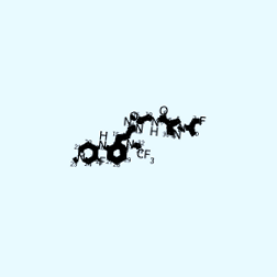 CC(CF)n1cc(C(=O)NCc2nc(-c3cc4c(N[C@@H]5CCN(C)C[C@@H]5F)cccc4n3CC(F)(F)F)no2)cn1